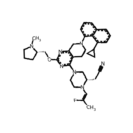 CC(F)=CN1CCN(c2nc(OC[C@@H]3CCCN3C)nc3c2CCN(c2cccc4cccc(C5CC5)c24)C3)C[C@@H]1CC#N